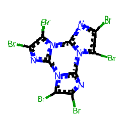 Brc1nc2n(c1Br)c1nc(Br)c(Br)n1c1nc(Br)c(Br)n21